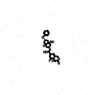 O=C1Nc2c(F)cc(C(O)CN3C[C@H]4C[C@H](Oc5ccccc5)C[C@@]4(O)C3)cc2CO1